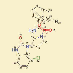 NC(=O)C12CC3CC(C1)C(OC(=O)N1CCC(n4c(=O)[nH]c5cccc(Cl)c54)C1)[C@@H](C3)C2